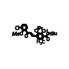 COc1c(Cl)cccc1C(=O)/C=C/c1cc(C)c(C(=O)OC(C)(C)C)c(C)c1OC(C)C